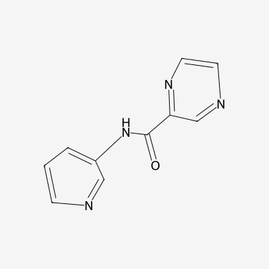 O=C(Nc1cccnc1)c1cnccn1